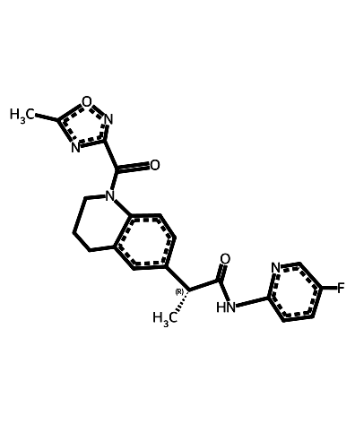 Cc1nc(C(=O)N2CCCc3cc([C@@H](C)C(=O)Nc4ccc(F)cn4)ccc32)no1